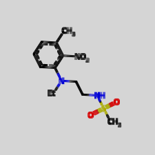 CCN(CCNS(C)(=O)=O)c1cccc(C)c1[N+](=O)[O-]